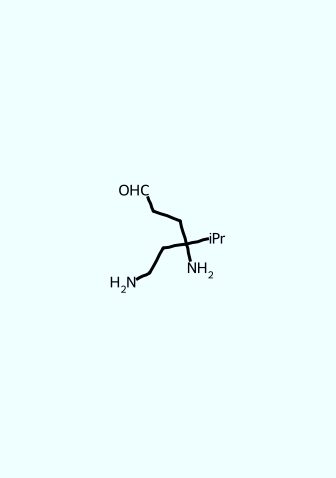 CC(C)C(N)(CCN)CCC=O